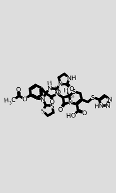 CC(=O)Oc1ccc2cc1N(C1SCCS1)C2(NC(=O)N1CCNC1=O)C(=O)NC1C(=O)N2C(C(=O)O)=C(CSc3cnn[nH]3)CS[C@@H]12